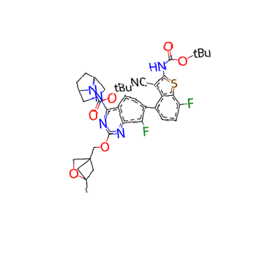 CC(C)(C)OC(=O)Nc1sc2c(F)ccc(-c3ccc4c(N5CC6CCC(C5)N6C(=O)OC(C)(C)C)nc(OCC56COC(C)(C5)C6)nc4c3F)c2c1C#N